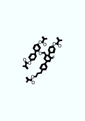 C=C(C)C(=O)OCCCc1ccc(-c2cc(F)c(-c3ccc(OC(=O)C(=C)C)cc3)c(COc3cc(OC(=O)C(=C)C)ccc3-c3ccc(OC(=O)C(=C)C)cc3)c2)cc1